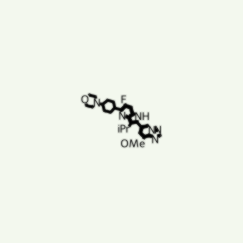 COc1cc(-c2[nH]c3cc(F)c(C4CCC(N5CCOCC5)CC4)nc3c2C(C)C)cn2ncnc12